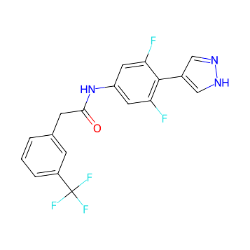 O=C(Cc1cccc(C(F)(F)F)c1)Nc1cc(F)c(-c2cn[nH]c2)c(F)c1